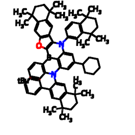 CC(C)(C)c1ccc2c(c1)N(c1cc3c(cc1-c1ccccc1)C(C)(C)CCC3(C)C)c1cc(C3CCCCC3)cc3c1B2c1oc2cc4c(cc2c1N3c1ccc2c(c1)C(C)(C)CCC2(C)C)C(C)(C)CCC4(C)C